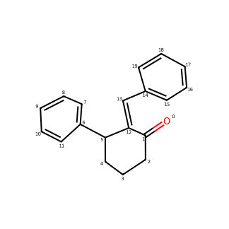 O=C1CCCC(c2ccccc2)C1=Cc1ccccc1